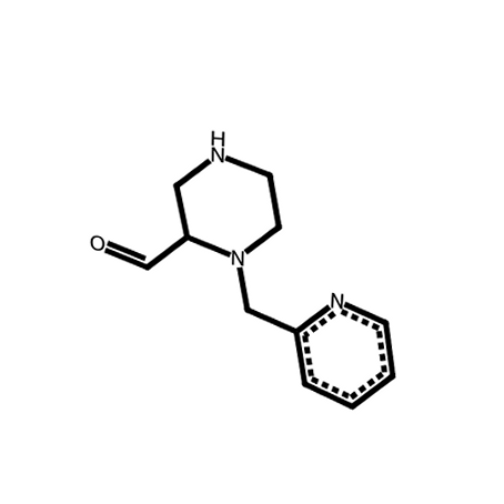 O=CC1CNCCN1Cc1ccccn1